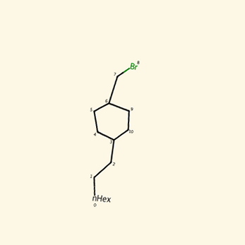 CCCCCCCCC1CCC(CBr)CC1